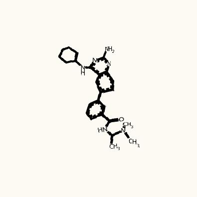 CC(NC(=O)c1cccc(-c2ccc3nc(N)nc(NC4CCCCC4)c3c2)c1)N(C)C